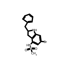 CS(=O)(=O)Nc1cc(Br)cc2c1CC(Cc1ccccc1)N2